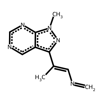 C=N/C=C(\C)c1nn(C)c2ncncc12